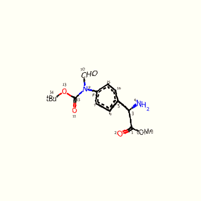 COC(=O)[C@H](N)c1ccc(N(C=O)C(=O)OC(C)(C)C)cc1